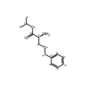 CC(C)OC(=O)[C@@H](N)COCc1ccccc1